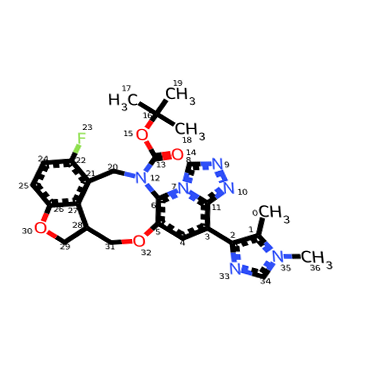 Cc1c(-c2cc3c(n4cnnc24)N(C(=O)OC(C)(C)C)Cc2c(F)ccc4c2C(CO4)CO3)ncn1C